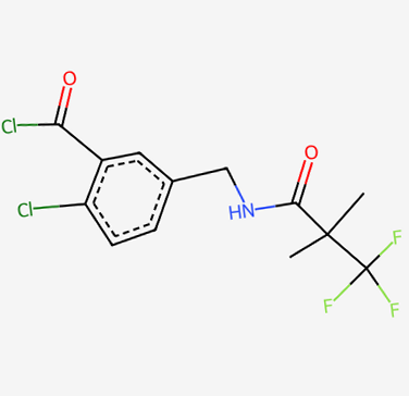 CC(C)(C(=O)NCc1ccc(Cl)c(C(=O)Cl)c1)C(F)(F)F